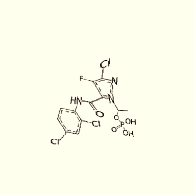 CC(OP(=O)(O)O)n1nc(Cl)c(F)c1C(=O)Nc1ccc(Cl)cc1Cl